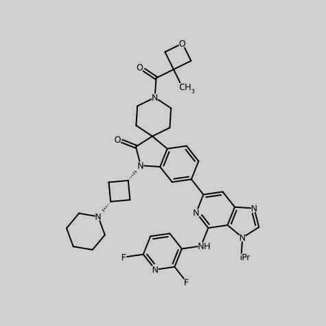 CC(C)n1cnc2cc(-c3ccc4c(c3)N([C@H]3C[C@@H](N5CCCCC5)C3)C(=O)C43CCN(C(=O)C4(C)COC4)CC3)nc(Nc3ccc(F)nc3F)c21